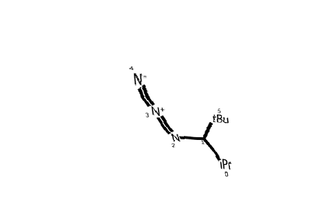 CC(C)C(N=[N+]=[N-])C(C)(C)C